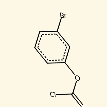 O=C(Cl)Oc1cccc(Br)c1